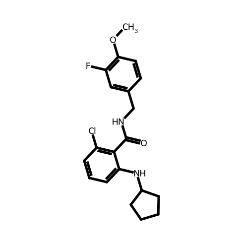 COc1ccc(CNC(=O)c2c(Cl)cccc2NC2CCCC2)cc1F